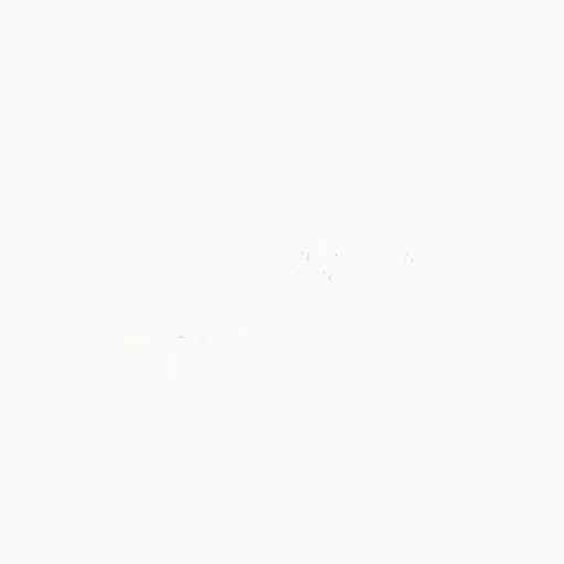 CCc1cc(-c2noc(-c3cc(C)nc(C4CCCC4)c3)n2)cc(C)c1OCCCC(=O)O